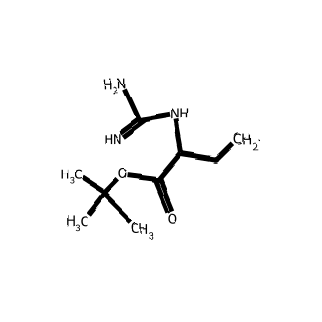 [CH2]CC(NC(=N)N)C(=O)OC(C)(C)C